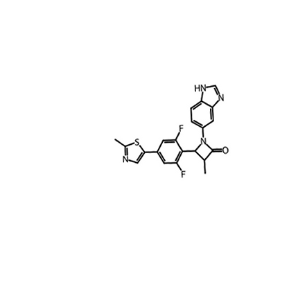 Cc1ncc(-c2cc(F)c(C3C(C)C(=O)N3c3ccc4[nH]cnc4c3)c(F)c2)s1